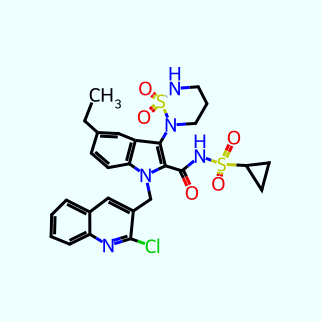 CCc1ccc2c(c1)c(N1CCCNS1(=O)=O)c(C(=O)NS(=O)(=O)C1CC1)n2Cc1cc2ccccc2nc1Cl